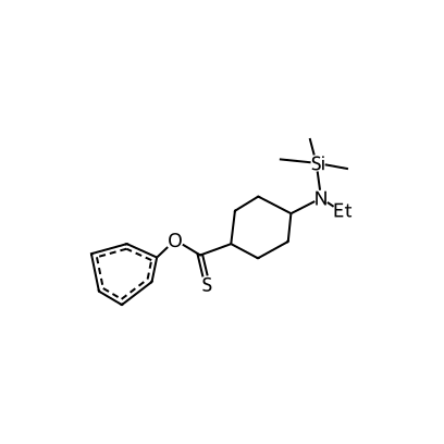 CCN(C1CCC(C(=S)Oc2ccccc2)CC1)[Si](C)(C)C